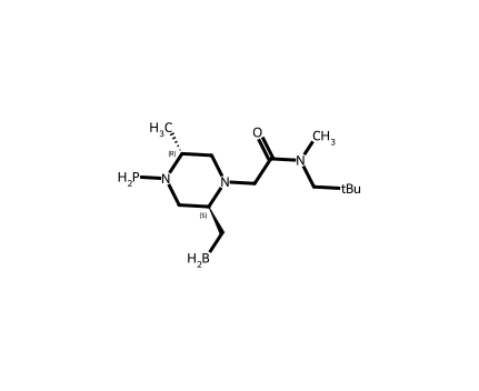 BC[C@H]1CN(P)[C@H](C)CN1CC(=O)N(C)CC(C)(C)C